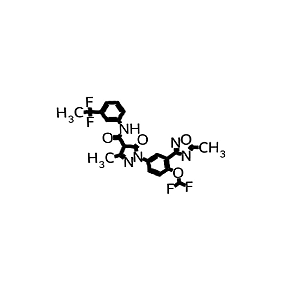 CC1=NN(c2ccc(OC(F)F)c(-c3noc(C)n3)c2)C(=O)C1C(=O)Nc1cccc(C(C)(F)F)c1